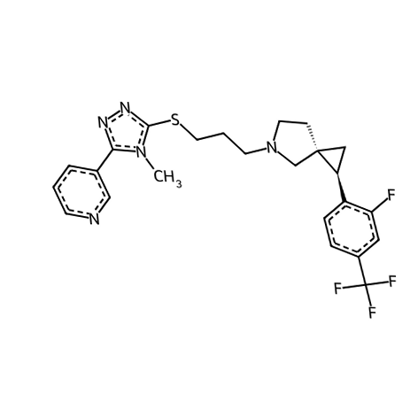 Cn1c(SCCCN2CC[C@@]3(C[C@H]3c3ccc(C(F)(F)F)cc3F)C2)nnc1-c1cccnc1